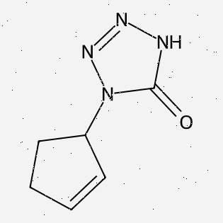 O=c1[nH]nnn1C1C=CCC1